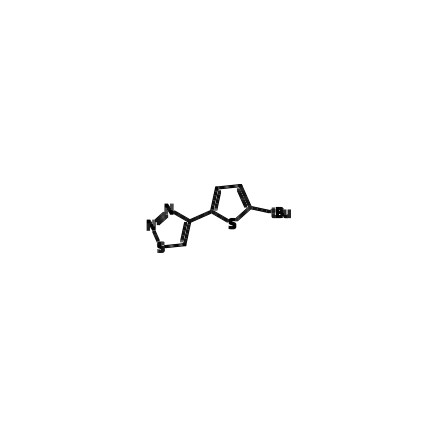 CC(C)(C)c1ccc(-c2csnn2)s1